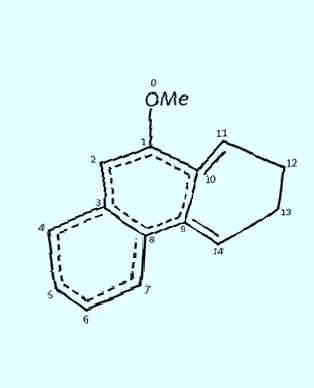 COc1cc2ccccc2c2c1=CCCC=2